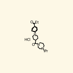 CCC(=O)c1ccc(N2CCC(C(=O)N3CCCN(C(C)C)CC3)CC2)cc1.Cl